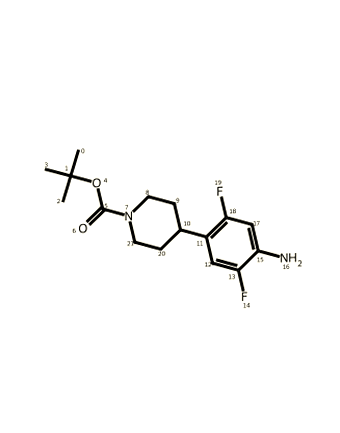 CC(C)(C)OC(=O)N1CCC(c2cc(F)c(N)cc2F)CC1